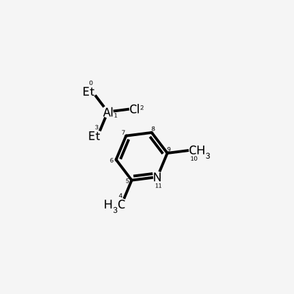 C[CH2][Al]([Cl])[CH2]C.Cc1cccc(C)n1